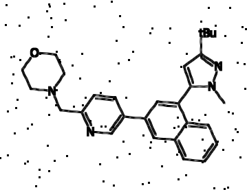 Cn1nc(C(C)(C)C)cc1-c1cc(-c2ccc(CN3CCOCC3)nc2)cc2ccccc12